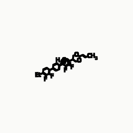 C=C(/C(F)=C(F)\C(=C/C)C1COC(/C=C/C)OC1)c1ccc(-c2ccc(CC)c(F)c2F)cc1